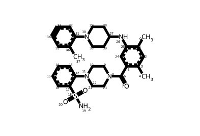 Cc1cc(C)c(C(=O)N2CCN(c3ccccc3S(N)(=O)=O)CC2)cc1NC1CCN(c2cc#ccc2C)CC1